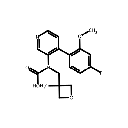 COc1cc(F)ccc1-c1ccncc1N(CC1(C)COC1)C(=O)O